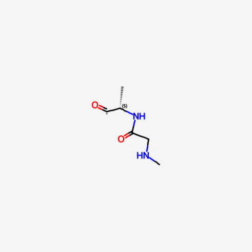 CNCC(=O)N[C@@H](C)[C]=O